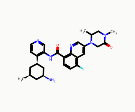 CC1CN(C)C(=O)CN1c1cnc2c(C(=O)Nc3cnccc3[C@@H]3C[C@H](C)C[C@H](N)C3)ccc(F)c2c1